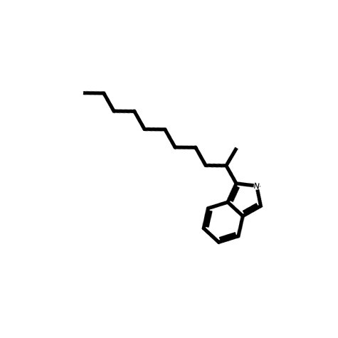 CCCCCCCCCC(C)C1=c2ccccc2=C[N]1